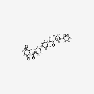 O=C(Nc1ccc(C2CCN(C(=O)c3cc(Cl)ccc3Cl)CC2)cc1)[C@H]1CCN(c2cccnn2)C1